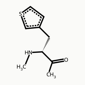 CN[C@H](Cc1ccsc1)C(C)=O